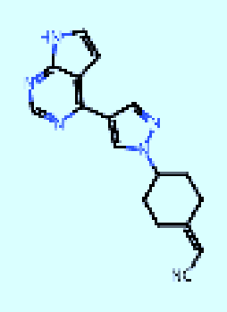 N#CC=C1CCC(n2cc(-c3ncnc4[nH]ccc34)cn2)CC1